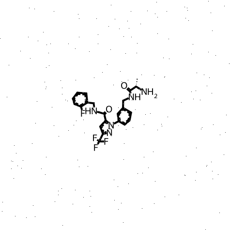 C[C@H](N)C(=O)NCc1cccc(-n2nc(C(F)(F)F)cc2C(=O)NCc2ccccc2F)c1